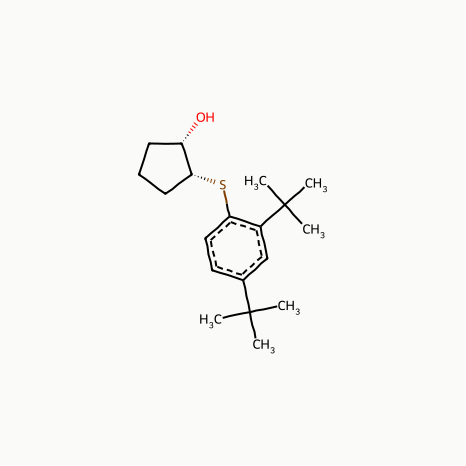 CC(C)(C)c1ccc(S[C@@H]2CCC[C@@H]2O)c(C(C)(C)C)c1